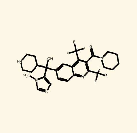 Cn1cncc1C(O)(c1ccc2nc(C(F)(F)F)c(C(=O)N3CCCCC3)c(C(F)(F)F)c2c1)C1CCNCC1